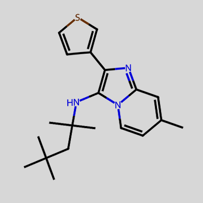 Cc1ccn2c(NC(C)(C)CC(C)(C)C)c(-c3ccsc3)nc2c1